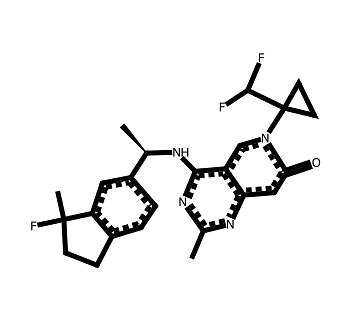 Cc1nc(N[C@H](C)c2ccc3c(c2)C(C)(F)CC3)c2cn(C3(C(F)F)CC3)c(=O)cc2n1